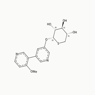 COc1ccncc1-c1cncc(O[C@H]2SC[C@@H](O)[C@H](O)[C@H]2O)c1